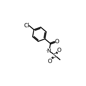 CS(=O)(=O)[N]C(=O)c1ccc(Cl)cc1